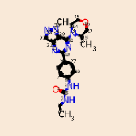 CCNC(=O)Nc1ccc(-c2nc(N3CCOCC3C)c3c(cnn3C)n2)cc1